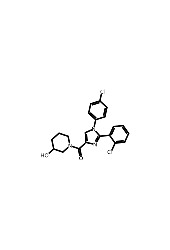 O=C(c1cn(-c2ccc(Cl)cc2)c(-c2ccccc2Cl)n1)N1CCCC(O)C1